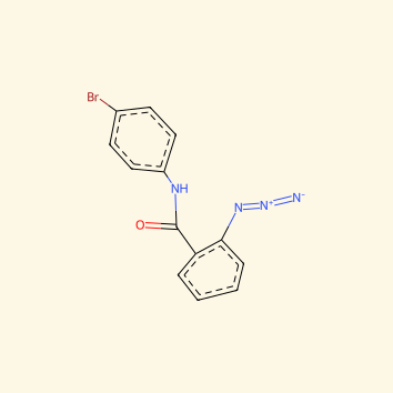 [N-]=[N+]=Nc1ccccc1C(=O)Nc1ccc(Br)cc1